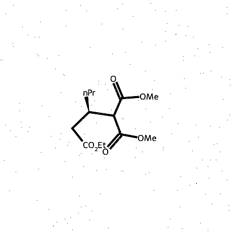 CCC[C@H](CC(=O)OCC)C(C(=O)OC)C(=O)OC